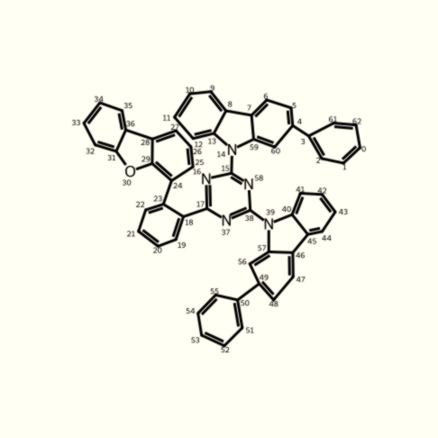 c1ccc(-c2ccc3c4ccccc4n(-c4nc(-c5ccccc5-c5cccc6c5oc5ccccc56)nc(-n5c6ccccc6c6ccc(-c7ccccc7)cc65)n4)c3c2)cc1